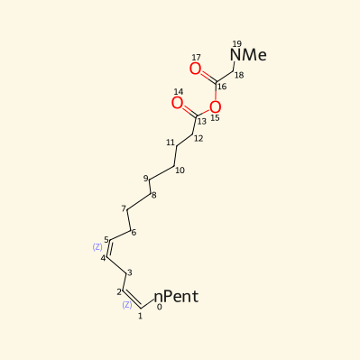 CCCCC/C=C\C/C=C\CCCCCCCC(=O)OC(=O)CNC